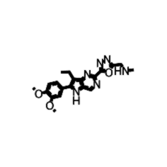 CCc1c(-c2ccc(OC)c(OC)c2)[nH]c2cnc(-c3nnc(CNC)o3)nc12